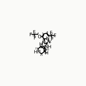 FC(F)(F)COc1ccc(C(F)(F)F)n2nc(NC3[C@@H]4CC[C@H]3CNC4)nc12